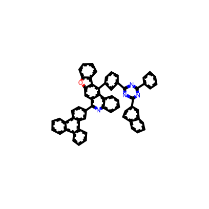 c1ccc(-c2nc(-c3cccc(-c4c5c(cc6c(-c7ccc8c9ccccc9c9ccccc9c8c7)nc7ccccc7c46)oc4ccccc45)c3)nc(-c3ccc4ccccc4c3)n2)cc1